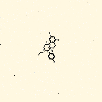 CCC[C@@H]1CC[C@H]2c3cc(F)cc(F)c3CC[C@@H]2[C@H]1c1ccc(F)cc1